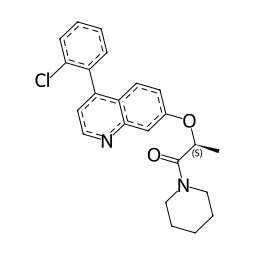 C[C@H](Oc1ccc2c(-c3ccccc3Cl)ccnc2c1)C(=O)N1CCCCC1